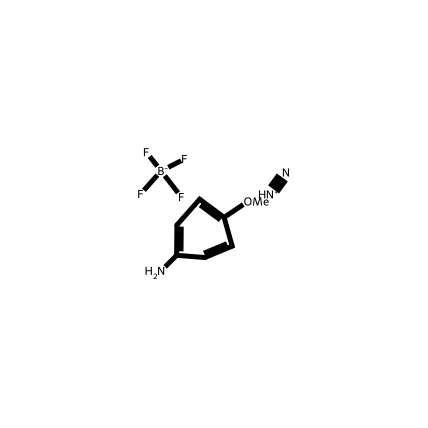 COc1ccc(N)cc1.F[B-](F)(F)F.N#[NH+]